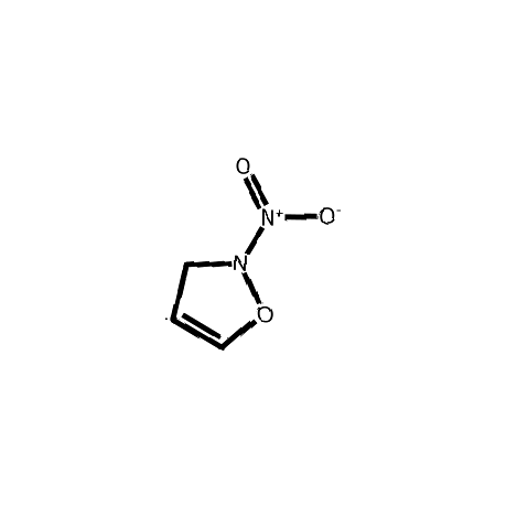 O=[N+]([O-])N1C[C]=CO1